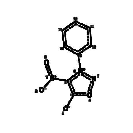 O=[N+]([O-])c1c([O-])on[n+]1-c1ccccc1